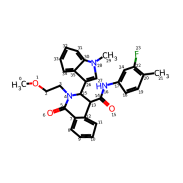 COCCN1C(=O)c2ccccc2C(C(=O)Nc2ccc(C)c(F)c2)C1c1cn(C)c2ccccc12